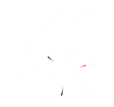 OCc1ccc(Cc2ccc(Cl)cc2)cc1[C@@H]1O[C@H](CO)[C@@H](O)[C@H](O)[C@H]1O